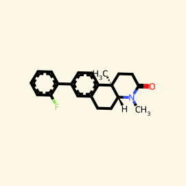 CN1C(=O)CC[C@]2(C)c3ccc(-c4ccccc4F)cc3CC[C@@H]12